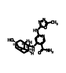 Cc1nnc(Nc2cc(N[C@@H]3[C@@H]4CC5C[C@H]3C[C@@](O)(C5)C4)c(C(N)=O)cn2)o1